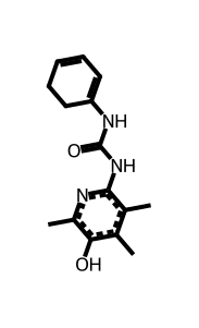 Cc1nc(NC(=O)NC2=CC=CCC2)c(C)c(C)c1O